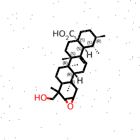 C[C@H]1[C@H](C)CC[C@]2(C(=O)O)CC[C@]3(C)C(=CC[C@@H]4[C@@]5(C)CC6OC6C(C)(CO)C5CC[C@]43C)[C@H]12